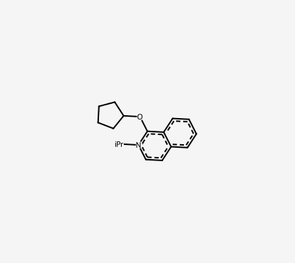 CC(C)[n+]1ccc2ccccc2c1OC1CCCC1